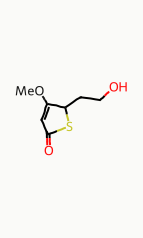 COC1=CC(=O)SC1CCO